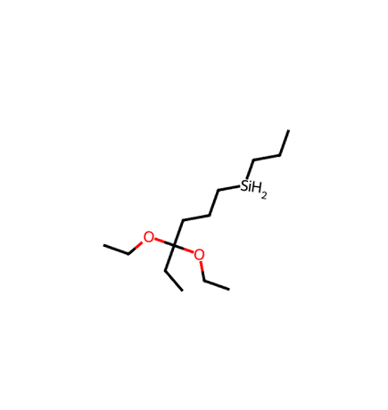 CCC[SiH2]CCCC(CC)(OCC)OCC